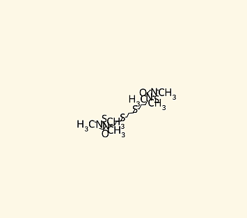 CCN1CC(=O)N(C(C)(C)CCCSCCCSCCCC(C)(C)N2C(=O)CN(CC)C2=S)C1=S